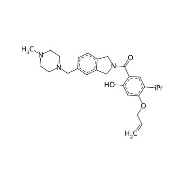 C=CCOc1cc(O)c(C(=O)N2Cc3ccc(CN4CCN(C)CC4)cc3C2)cc1C(C)C